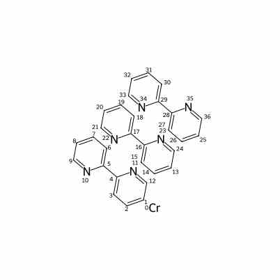 [Cr].c1ccc(-c2ccccn2)nc1.c1ccc(-c2ccccn2)nc1.c1ccc(-c2ccccn2)nc1